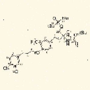 CC(CCc1ccc(OCCCc2ccc(Cl)c(Cl)c2)c(C(F)(F)F)c1)(COP(=O)(C(C)(C)C)C(C)(C)C)NC(=O)OC(C)(C)C